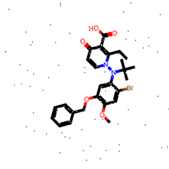 CCc1c(C(=O)O)c(=O)ccn1N(c1cc(OCc2ccccc2)c(OC)cc1Br)C(C)(C)C